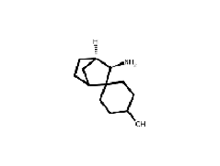 N[C@@H]1[C@@H]2CCC(C2)C12CCC(O)CC2